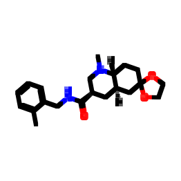 Cc1ccccc1CNC(=O)[C@@H]1C[C@@H]2CC3(CC[C@H]2N(C)C1)OCCO3